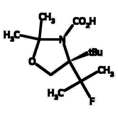 CC1(C)OC[C@](C(C)(C)C)(C(C)(C)F)N1C(=O)O